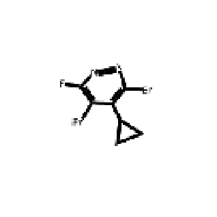 CC(C)c1c(F)nnc(Br)c1C1CC1